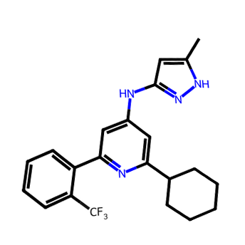 Cc1cc(Nc2cc(-c3ccccc3C(F)(F)F)nc(C3CCCCC3)c2)n[nH]1